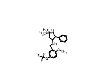 COc1ccc(OC(F)(F)F)cc1CNC1CC(C)(C)NC1c1ccccc1